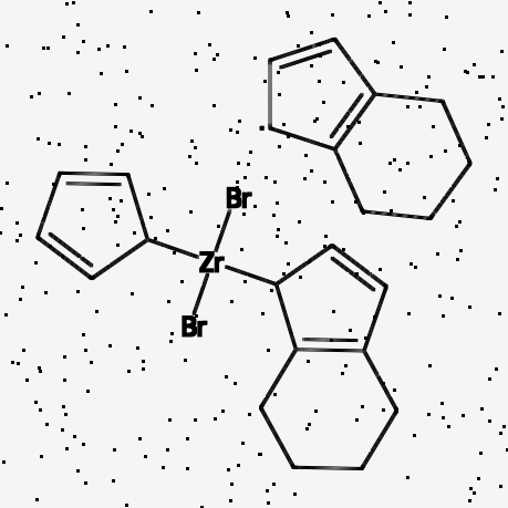 [Br][Zr]([Br])([CH]1C=CC=C1)[CH]1C=CC2=C1CCCC2.[CH]1C=CC2=C1CCCC2